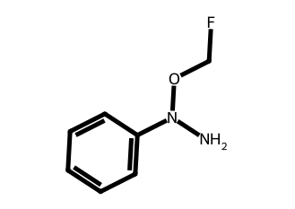 NN(OCF)c1ccccc1